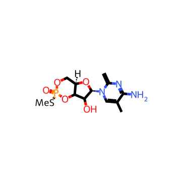 C=C1N=C(N)C(C)=CN1[C@@H]1O[C@@H]2COP(=O)(SC)OC2C1O